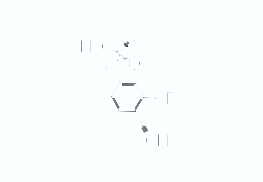 C#Cc1ccc(OS(C)(=O)=O)cc1C(F)(F)F